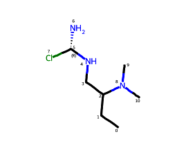 CCC(CN[C@@H](N)Cl)N(C)C